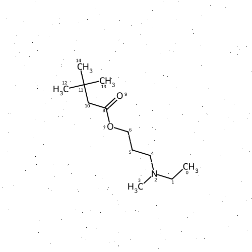 CCN(C)CCCOC(=O)CC(C)(C)C